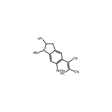 CCCCN1c2cc(NC(C)=O)c(C(C#N)=C(C#N)C#N)cc2CC1CCC